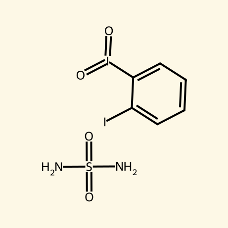 NS(N)(=O)=O.O=I(=O)c1ccccc1I